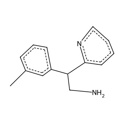 Cc1cccc(C(CN)c2ccccn2)c1